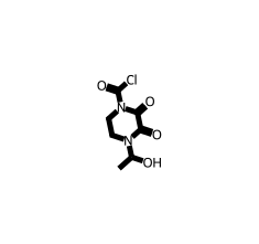 CC(O)N1CCN(C(=O)Cl)C(=O)C1=O